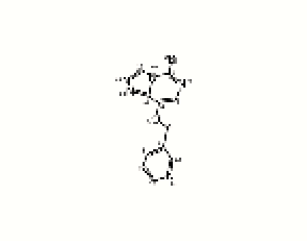 Brc1ncc(OCc2cccnc2)c2nncn12